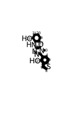 Cn1c(-c2ccc3sccc3c2O)nnc(N[C@@H]2CCCC[C@H]2O)c1=O